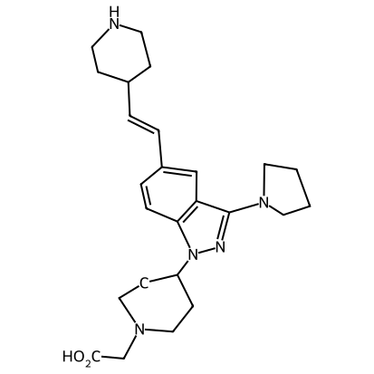 O=C(O)CN1CCC(n2nc(N3CCCC3)c3cc(/C=C/C4CCNCC4)ccc32)CC1